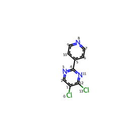 Clc1cnc(-c2ccncc2)nc1Cl